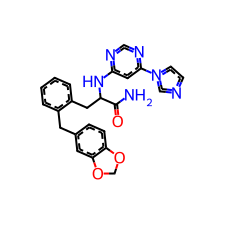 NC(=O)C(Cc1ccccc1Cc1ccc2c(c1)OCO2)Nc1cc(-n2ccnc2)ncn1